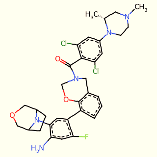 C[C@@H]1CN(C)CCN1c1cc(Cl)c(C(=O)N2COc3c(cccc3-c3cc(N4C5CCC4COC5)c(N)cc3F)C2)c(Cl)c1